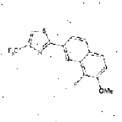 COc1ccc2[c]cc(-c3nc(C(F)(F)F)cs3)nc2c1F